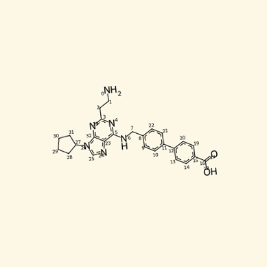 NCCc1nc(NCc2ccc(-c3ccc(C(=O)O)cc3)cc2)c2ncn(C3CCCC3)c2n1